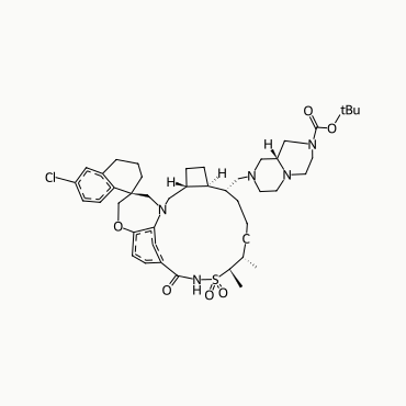 C[C@@H]1[C@@H](C)CCC[C@@H](CN2CCN3CCN(C(=O)OC(C)(C)C)C[C@H]3C2)[C@@H]2CC[C@H]2CN2C[C@@]3(CCCc4cc(Cl)ccc43)COc3ccc(cc32)C(=O)NS1(=O)=O